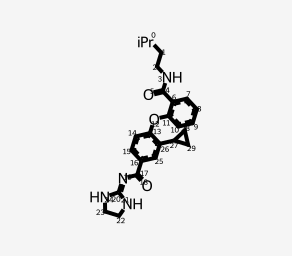 CC(C)CCNC(=O)c1ccccc1Oc1ccc(C(=O)N=C2NCCN2)cc1C1CC1